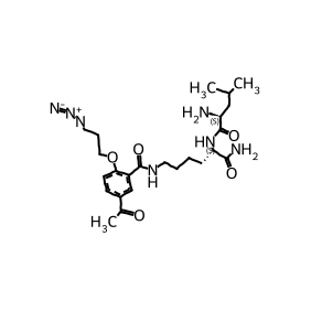 CC(=O)c1ccc(OCCCN=[N+]=[N-])c(C(=O)NCCCC[C@H](NC(=O)[C@@H](N)CC(C)C)C(N)=O)c1